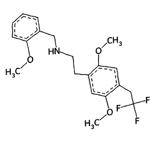 COc1cc(CC(F)(F)F)c(OC)cc1CCNCc1ccccc1OC